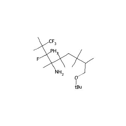 CC(COC(C)(C)C)C(C)(C)CC(C)(C)C(C)(N)C(F)(P)C(C)(C)C(F)(F)F